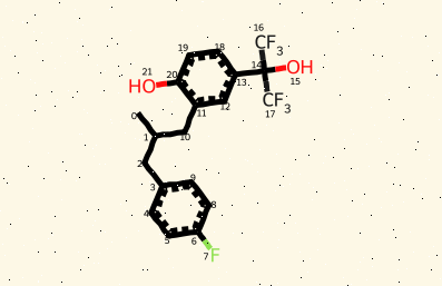 CC(Cc1ccc(F)cc1)Cc1cc(C(O)(C(F)(F)F)C(F)(F)F)ccc1O